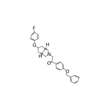 O=C(CN1C[C@H]2CC(Oc3ccc(F)cc3)C[C@H]2C1)c1ccc(OCc2ccccc2)cc1